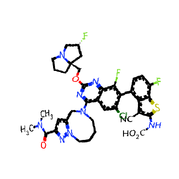 CN(C)C(=O)c1cc2n(n1)CCCCN(c1nc(OC[C@@]34CCCN3C[C@H](F)C4)nc3c(F)c(-c4ccc(F)c5sc(NC(=O)O)c(C#N)c45)c(Cl)cc13)C2